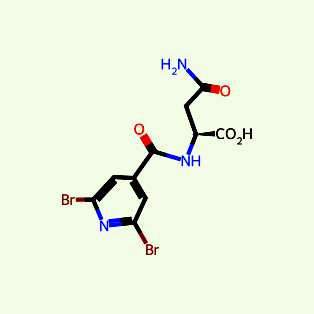 NC(=O)C[C@H](NC(=O)c1cc(Br)nc(Br)c1)C(=O)O